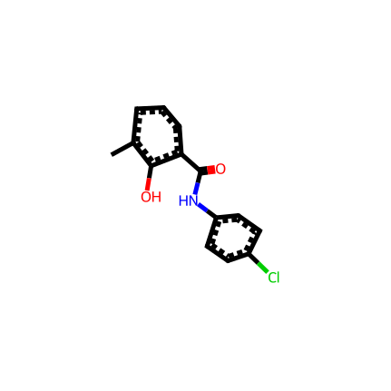 Cc1cccc(C(=O)Nc2ccc(Cl)cc2)c1O